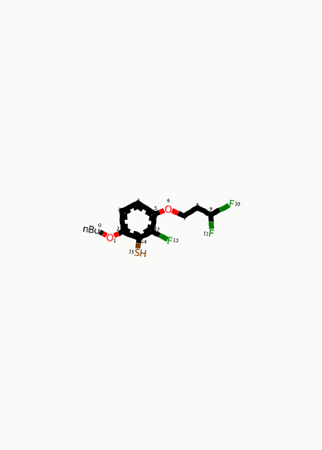 CCCCOc1ccc(OCCC(F)F)c(F)c1S